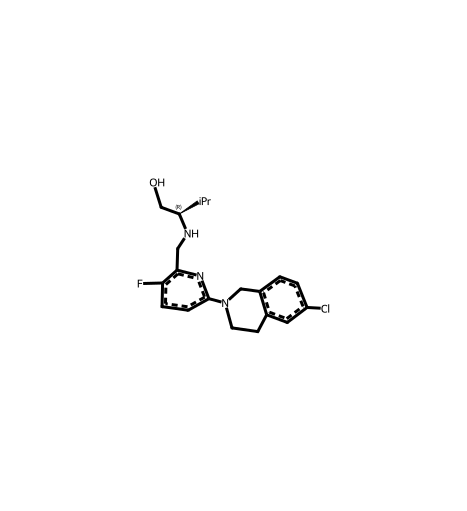 CC(C)[C@H](CO)NCc1nc(N2CCc3cc(Cl)ccc3C2)ccc1F